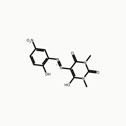 Cn1c(O)c(/N=N/c2cc([N+](=O)[O-])ccc2O)c(=O)n(C)c1=O